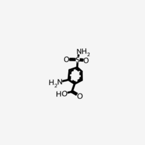 Nc1cc(S(N)(=O)=O)ccc1C(=O)O